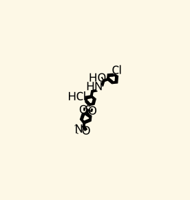 CN(C)C(=O)c1ccc(S(=O)(=O)c2ccc(CCNC[C@@H](O)c3cccc(Cl)c3)cc2)cc1.Cl